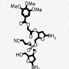 BC1CC(OC(=O)COC(=O)c2cc(OC)c(OC)c(OC)c2)C(COP(=O)(OCCC#N)OC2CC(B)OC2CO)O1